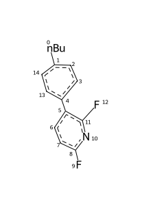 CCCCc1ccc(-c2ccc(F)nc2F)cc1